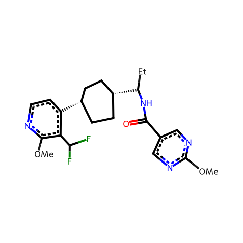 CCC(NC(=O)c1cnc(OC)nc1)[C@H]1CC[C@@H](c2ccnc(OC)c2C(F)F)CC1